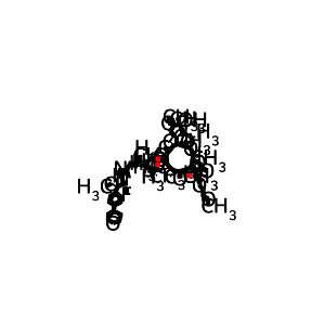 COCCOCCN1C(=O)O[C@]2(C)[C@@H](I)OC(=O)[C@H](C)[C@@H](O[C@H]3C[C@@](C)(OC)[C@@H](O)[C@H](C)O3)[C@H](C)[C@@H](O[C@H]3C[C@@H](N(C)CCc4cn([C@H](CF)[C@H](OC)c5ccc(C6=CCOCC6)cc5)nn4)C[C@@H](C)O3)[C@](C)(OC)C[C@@H](C)C(=O)[C@H](C)[C@@H]12